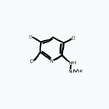 CNNc1nc(Cl)c(Cl)cc1Cl